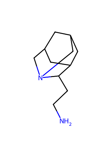 NCCC1C2CC3CC(C2)CN1C3